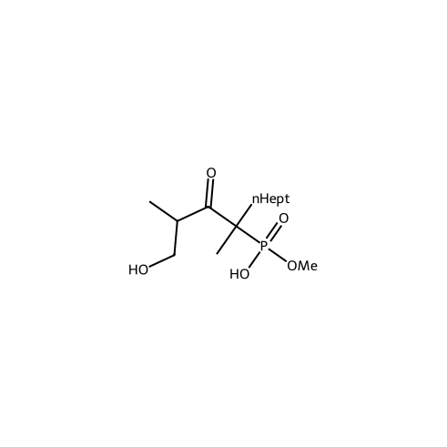 CCCCCCCC(C)(C(=O)C(C)CO)P(=O)(O)OC